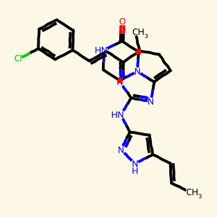 C/C=C/c1cc(NC2=N/C(N3CCNC(=O)C3)=C/CC(C)C(/C=C/c3cccc(Cl)c3)=N\2)n[nH]1